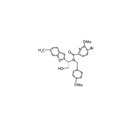 COc1ccc(CN(C(=O)c2ccc(Br)c(OC)n2)[C@H](CO)c2cc3ccc(C)cc3o2)cc1